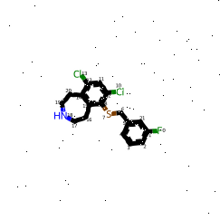 Fc1cccc(CSc2c(Cl)cc(Cl)c3c2CCNCC3)c1